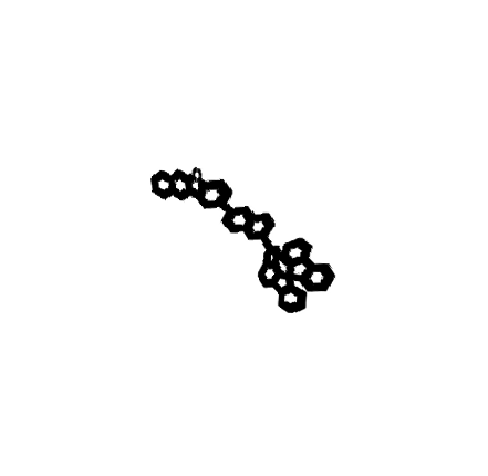 c1ccc2c(c1)-c1ccccc1C21c2ccccc2-c2ccc3cc(-c4ccc5cc(-c6ccc7oc8cc9ccccc9cc8c7c6)ccc5c4)ccc3c21